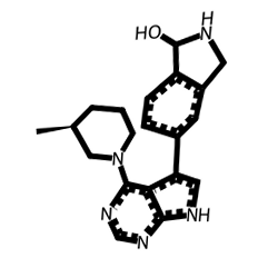 C[C@H]1CCCN(c2ncnc3[nH]cc(-c4ccc5c(c4)CNC5O)c23)C1